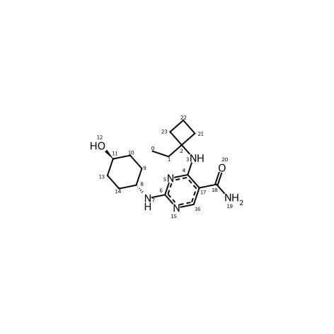 CCC1(Nc2nc(N[C@H]3CC[C@H](O)CC3)ncc2C(N)=O)CCC1